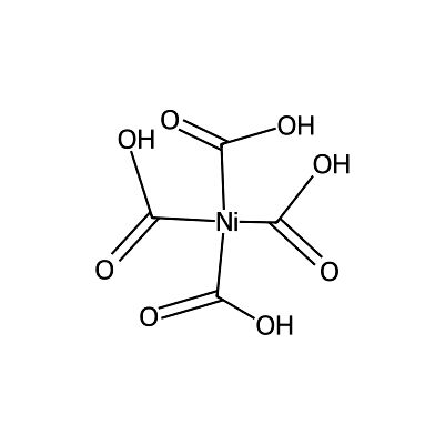 O=[C](O)[Ni]([C](=O)O)([C](=O)O)[C](=O)O